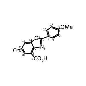 COc1ccc(-c2nc3c(C(=O)O)cc(Cl)cc3o2)cc1